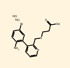 Cl.Cl.Nc1ccc(Br)cc1-c1cccnc1CSCCC(=O)O